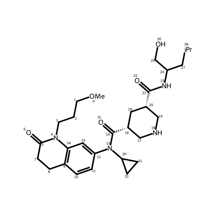 COCCCN1C(=O)CCc2ccc(N(C(=O)[C@H]3CNC[C@@H](C(=O)NC(CO)CC(C)C)C3)C3CC3)cc21